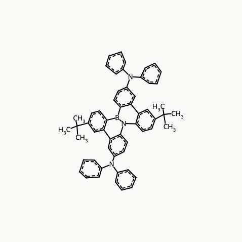 CC(C)(C)c1ccc2c(c1)-c1cc(N(c3ccccc3)c3ccccc3)ccc1N1B2c2ccc(N(c3ccccc3)c3ccccc3)cc2-c2cc(C(C)(C)C)ccc21